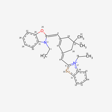 CCN1C(=CC2=CC(=Cc3sc4ccccc4[n+]3CC)CC(C)(C)C2)Oc2ccccc21